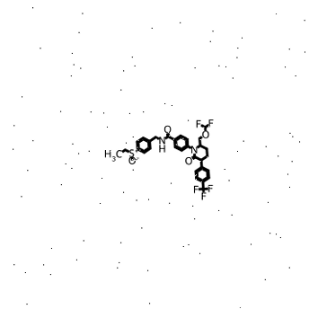 CC[S+]([O-])c1ccc(CNC(=O)c2ccc(N3C(=O)C(c4ccc(C(F)(F)F)cc4)CCC3COC(F)F)cc2)cc1